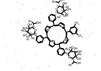 CC(=O)C(O)[C@H]1O[C@@H](c2cccc(-c3c4nc(c(-c5cccc([C@@H]6O[C@H](C(O)C(C)=O)[C@](O)(C(C)=O)[C@@](O)(C(C)=O)[C@]6(O)C(C)=O)c5)c5ccc([nH]5)c(-c5cc(C(F)(F)F)cc(C(F)(F)F)c5)c5nc(c(-c6cccc([C@@H]7O[C@H](C(O)C(C)=O)[C@](O)(C(C)=O)[C@@](O)(C(C)=O)[C@]7(O)C(C)=O)c6)c6ccc3[nH]6)C=C5)C=C4)c2)[C@@](O)(C(C)=O)[C@](O)(C(C)=O)[C@@]1(O)C(C)=O